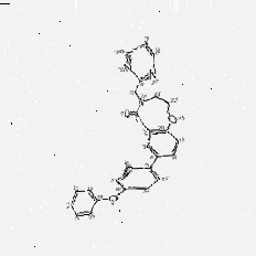 O=C1c2cc(-c3ccc(Oc4ccccc4)cc3)ccc2OCCN1Cc1ncccn1